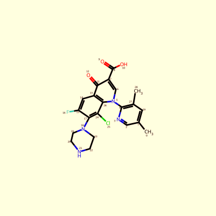 Cc1cnc(-n2cc(C(=O)O)c(=O)c3cc(F)c(N4CCNCC4)c(Cl)c32)c(C)c1